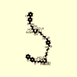 CC(=O)N[C@H]1[C@H]([C@H](O)[C@H](O)CNC(=O)c2ccc(-c3ccccc3Cl)cc2)O[C@@](OCCCSCCNC(=O)c2ccc(C(=O)NCCSCCCO[C@]3(C(=O)O)C[C@H](O)[C@@H](NC(C)=O)[C@H]([C@H](O)[C@H](O)CNC(=O)c4ccc(-c5ccccc5Cl)cc4)O3)cc2)(C(=O)O)C[C@@H]1O